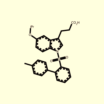 Cc1ccc(-c2ccccc2S(=O)(=O)n2cc(CCC(=O)O)c3cc(OC(C)C)ccc32)cc1